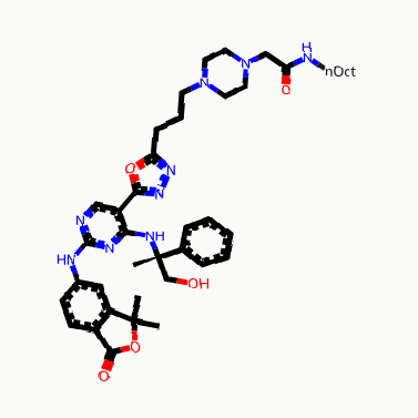 CCCCCCCCNC(=O)CN1CCN(CCCc2nnc(-c3cnc(Nc4ccc5c(c4)C(C)(C)OC5=O)nc3N[C@@](C)(CO)c3ccccc3)o2)CC1